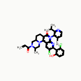 C=CC(=O)N1CC2CCc3c(c4cc(Cl)c(-c5c(O)cccc5Cl)nc4n(-c4c(C)ccnc4C(C)C)c3=O)N2CC1C